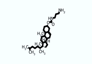 CC(C)CCC[C@@H](C)[C@H]1CC[C@H]2[C@@H]3CC=C4C[C@@H](OC(=O)NCCCN)CC[C@]4(C)C3CC[C@]12C